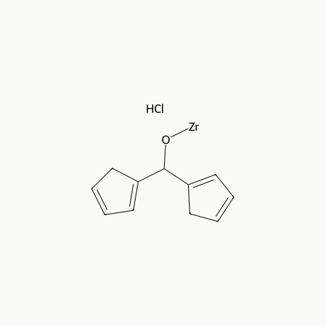 Cl.[Zr][O]C(C1=CC=CC1)C1=CC=CC1